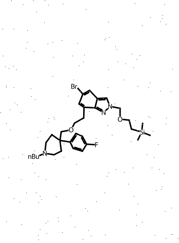 CCCCN1CCC(COCCc2cc(Br)cc3cn(COCC[Si](C)(C)C)nc23)(c2ccc(F)cc2)CC1